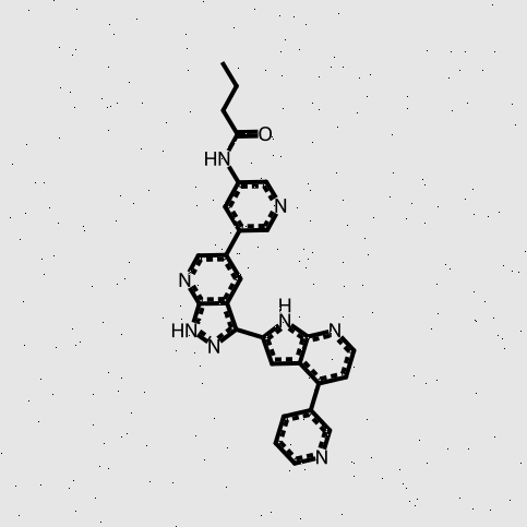 CCCC(=O)Nc1cncc(-c2cnc3[nH]nc(-c4cc5c(-c6cccnc6)ccnc5[nH]4)c3c2)c1